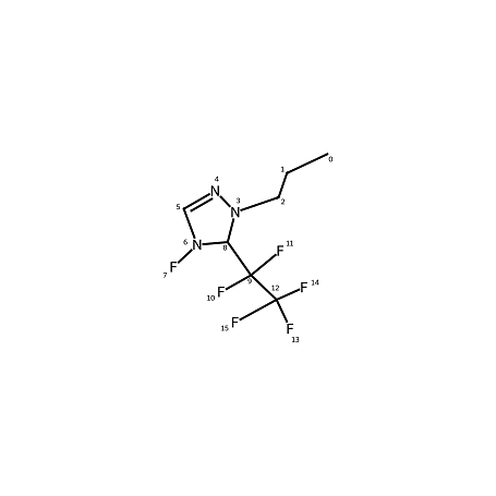 CCCN1N=CN(F)C1C(F)(F)C(F)(F)F